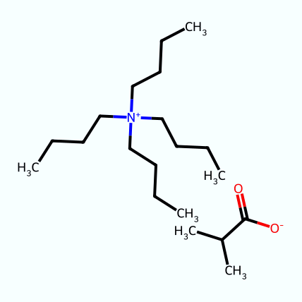 CC(C)C(=O)[O-].CCCC[N+](CCCC)(CCCC)CCCC